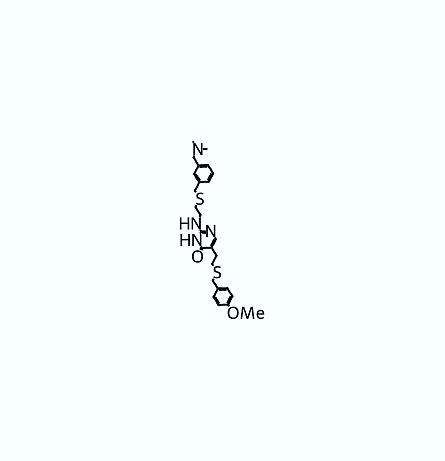 COc1ccc(CSCCc2cnc(NCCSCc3cccc(CN(C)C)c3)[nH]c2=O)cc1